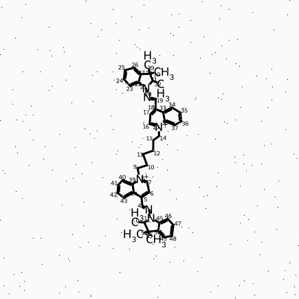 CC1N(/N=C/c2cc[n+](CCCCCC[n+]3ccc(/C=N/N4c5ccccc5C(C)(C)C4C)c4ccccc43)c3ccccc23)c2ccccc2C1(C)C